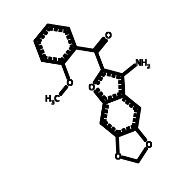 COc1ccccc1C(=O)c1oc2cc3c(cc2c1N)OCO3